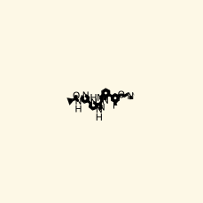 CN(C)CCOc1cc(F)cc(-c2cccc3[nH]c(-c4n[nH]c5ccc(-c6cncc(NC(=O)C7CC7)c6)nc45)nc23)c1